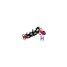 CC1(C)C[C@@H]2C3=CC[C@@H]4[C@@]5(C)CCC6OC(C)(C)OC[C@@]6(C)C5CC[C@@]4(C)[C@]3(C)CC[C@@]2(C)[C@H](OC(=O)Nc2ccccc2)C1